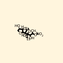 CCOC(OCC)(C(O)C(C)O[N+](=O)[O-])[C@]1(O)CO[C@@H]2[C@@H](O)CO[C@@H]21